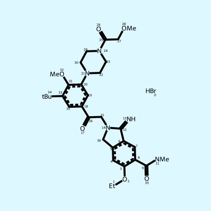 Br.CCOc1cc2c(cc1C(=O)NC)C(=N)N(CC(=O)c1cc(N3CCN(C(=O)COC)CC3)c(OC)c(C(C)(C)C)c1)C2